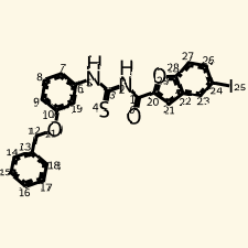 O=C(NC(=S)Nc1cccc(OCc2ccccc2)c1)c1cc2cc(I)ccc2o1